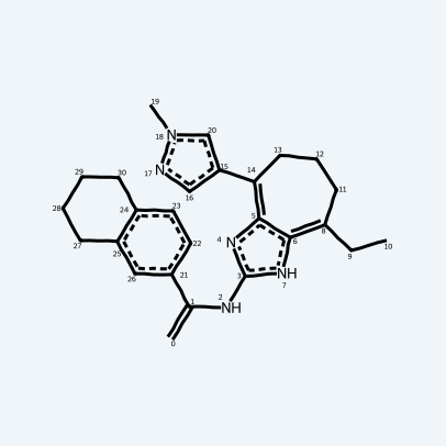 C=C(Nc1nc2c([nH]1)=C(CC)CCCC=2c1cnn(C)c1)c1ccc2c(c1)CCCC2